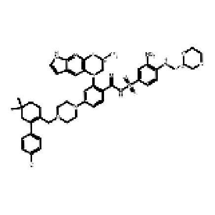 CC1(C)CCC(CN2CCN(c3ccc(C(=O)NS(=O)(=O)c4ccc(NC[C@H]5COCCO5)c([N+](=O)[O-])c4)c(N4C[C@H](C(F)(F)F)Sc5nc6[nH]ccc6cc54)c3)CC2)=C(c2ccc(Cl)cc2)C1